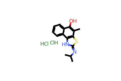 Cc1c(O)c2ccccc2c2[nH]c(=NC(C)C)sc12.Cl.Cl